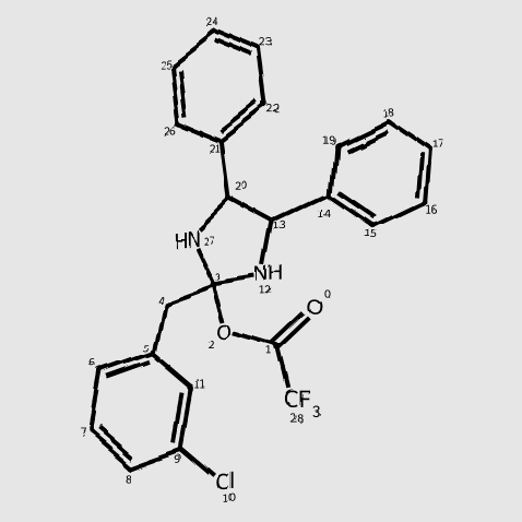 O=C(OC1(Cc2cccc(Cl)c2)NC(c2ccccc2)C(c2ccccc2)N1)C(F)(F)F